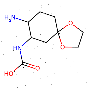 NC1CCC2(CC1NC(=O)O)OCCO2